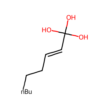 CCCCCCC=CC(O)(O)O